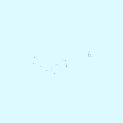 O=C1CCCN1CCOc1ccc2c(c1)C(=O)N(CCCO[N+](=O)[O-])C2=O